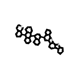 c1ccc2c(-c3c4ccccc4c(-c4ccc(-c5cc6c7ccc8c9ccccc9sc8c7sc6c6ccccc56)c5ccccc45)c4ccccc34)cccc2c1